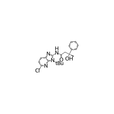 CC(C)(C)n1c(NC(=O)C[C@@](C)(O)c2ccccc2)nc2ccc(Cl)nc21